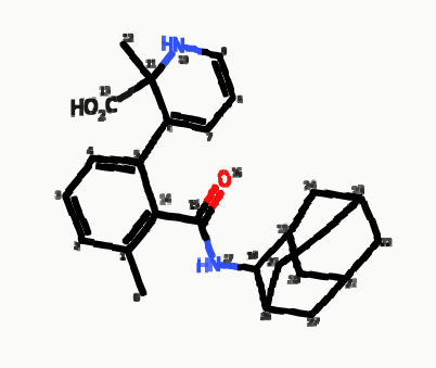 Cc1cccc(C2=CC=CNC2(C)C(=O)O)c1C(=O)NC1C2CC3CC(C2)CC1C3